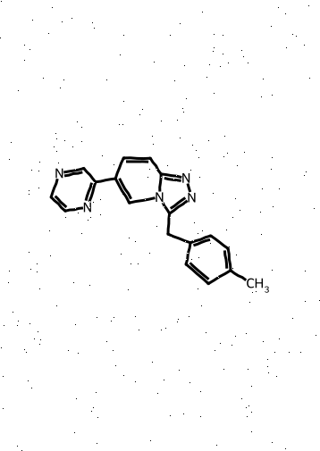 Cc1ccc(Cc2nnc3ccc(-c4cnccn4)cn23)cc1